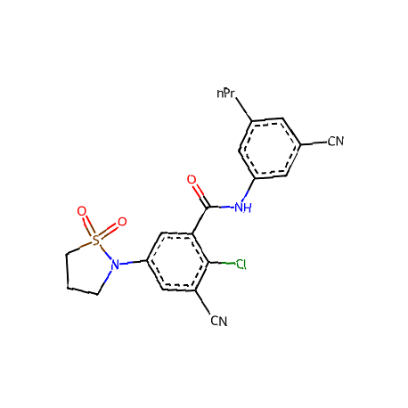 CCCc1cc(C#N)cc(NC(=O)c2cc(N3CCCS3(=O)=O)cc(C#N)c2Cl)c1